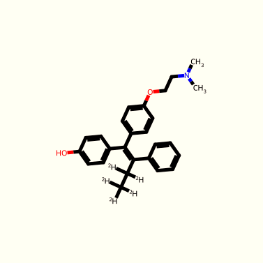 [2H]C([2H])([2H])C([2H])([2H])/C(=C(\c1ccc(O)cc1)c1ccc(OCCN(C)C)cc1)c1ccccc1